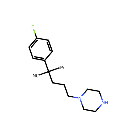 CC(C)C(C#N)(CCCN1CCNCC1)c1ccc(F)cc1